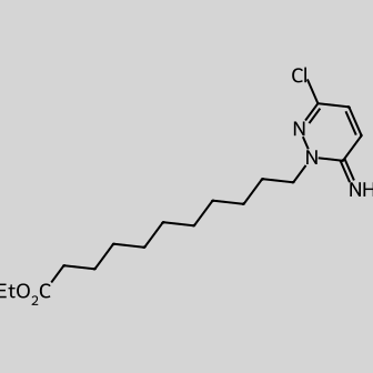 CCOC(=O)CCCCCCCCCCn1nc(Cl)ccc1=N